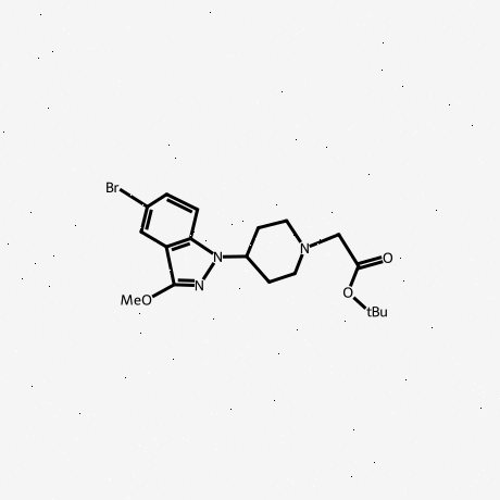 COc1nn(C2CCN(CC(=O)OC(C)(C)C)CC2)c2ccc(Br)cc12